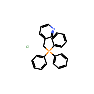 [Cl-].c1ccc([P+](Cc2cccnc2)(c2ccccc2)c2ccccc2)cc1